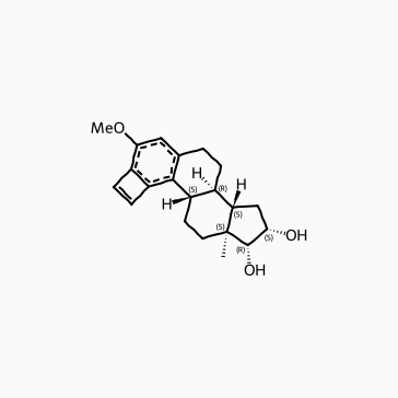 COc1cc2c(c3c1C=C3)[C@H]1CC[C@]3(C)[C@@H](O)[C@@H](O)C[C@H]3[C@@H]1CC2